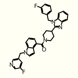 O=C(c1cccc2c1ccn2Cc1cncc(F)c1)N1CCC(c2nc3ccccc3n2Cc2cccc(F)c2)CC1